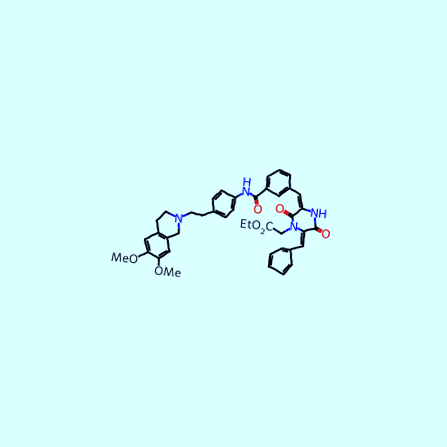 CCOC(=O)Cn1c(=O)c(=Cc2cccc(C(=O)Nc3ccc(CCN4CCc5cc(OC)c(OC)cc5C4)cc3)c2)[nH]c(=O)c1=Cc1ccccc1